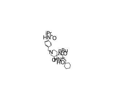 CCCCN1C(=O)[C@@H](CC2(O)CCCCC2)NC(=O)C12CCN(Cc1ccc(NC(=O)C(C)C)cc1)CC2